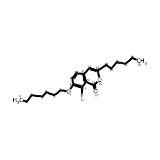 CCCCCCCOc1ccc2cc(CCCCCC)oc(=O)c2c1F